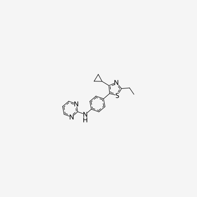 CCc1nc(C2CC2)c(-c2ccc(Nc3ncccn3)cc2)s1